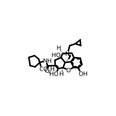 O=C(NC1(C(=O)O)CCCCC1)C1=C(O)[C@@H]2Oc3c(O)ccc4c3[C@@]23CCN(CC2CC2)[C@H](C4)[C@]3(O)C1